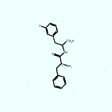 N[C@@H](Cc1ccccc1)C(=O)NC(Cc1cccc(F)c1)C(=O)O